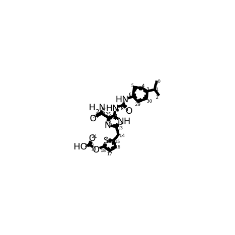 CC(C)c1ccc(NC(=O)Nc2[nH]c(Cc3ccc(OC(=O)O)s3)nc2C(N)=O)cc1